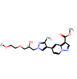 COCCOC[C@@H](O)Cn1cc(-c2ccn3ncc(C(=O)OC)c3c2)c(C)n1